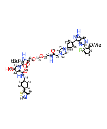 COc1cccc(F)c1-c1ncc2[nH]nc(-c3ccc(N4CCN(CC(=O)NCCOCCOCC(=O)N[C@H](C(=O)N5C[C@H](O)C[C@H]5C(=O)NCc5ccc(-c6scnc6C)cc5)C(C)(C)C)CC4)cc3)c2n1